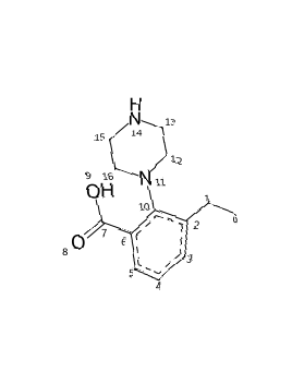 CCc1cccc(C(=O)O)c1N1CCNCC1